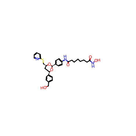 O=C(CCCCCCC(=O)Nc1ccc([C@@H]2O[C@H](CSc3ccccn3)C[C@H](c3ccc(CO)cc3)O2)cc1)NO